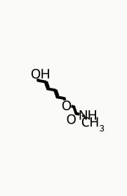 CNC(=O)COC/C=C/C=C/CO